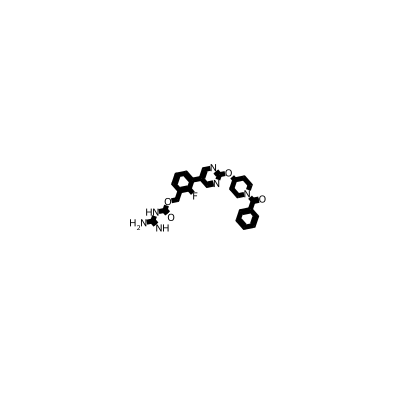 N=C(N)NC(=O)OCc1cccc(-c2cnc(OC3CCN(C(=O)c4ccccc4)CC3)nc2)c1F